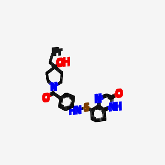 CC(C)CC1(O)CCN(C(=O)c2ccc(NSc3cccc4[nH]c(=O)cnc34)cc2)CC1